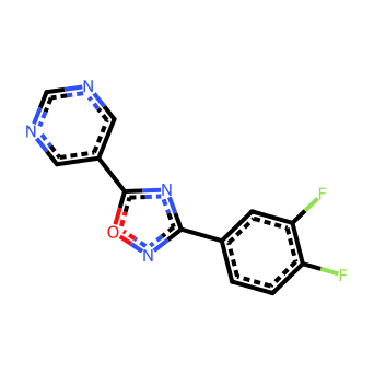 Fc1ccc(-c2noc(-c3cncnc3)n2)cc1F